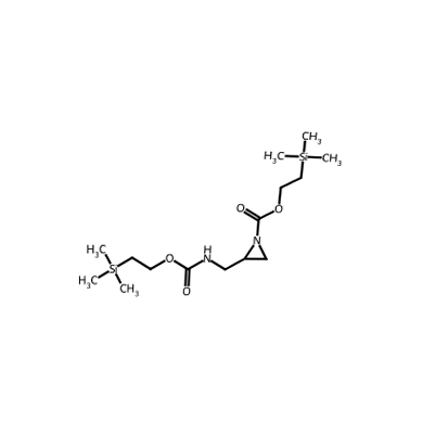 C[Si](C)(C)CCOC(=O)NCC1CN1C(=O)OCC[Si](C)(C)C